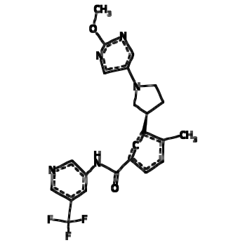 COc1ncc(N2CC[C@@H](c3cc(C(=O)Nc4cncc(C(F)(F)F)c4)ccc3C)C2)cn1